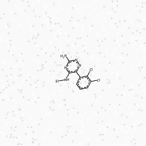 CCNc1nc(N)nnc1-c1cccc(Cl)c1Cl